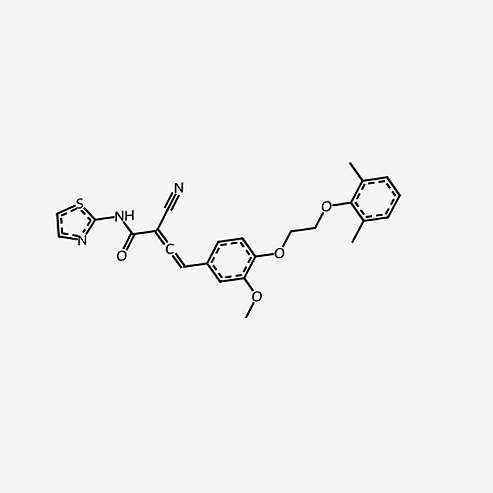 COc1cc(C=C=C(C#N)C(=O)Nc2nccs2)ccc1OCCOc1c(C)cccc1C